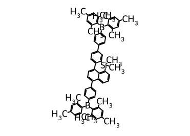 Cc1cc(C)c(B(c2ccc(-c3ccc4c(c3)[Si](C)(C)c3cccc5c(-c6ccc(B(c7c(C)cc(C)cc7C)c7c(C)cc(C)cc7C)cc6)ccc-4c35)cc2)c2c(C)cc(C)cc2C)c(C)c1